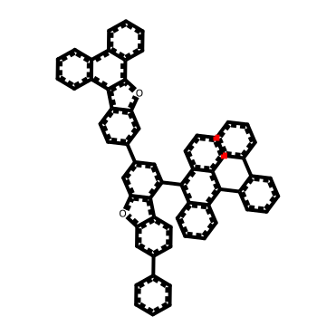 c1ccc(-c2ccc3c(c2)oc2cc(-c4ccc5c(c4)oc4c6ccccc6c6ccccc6c54)cc(-c4c5ccccc5c(-c5ccccc5-c5ccccc5)c5ccccc45)c23)cc1